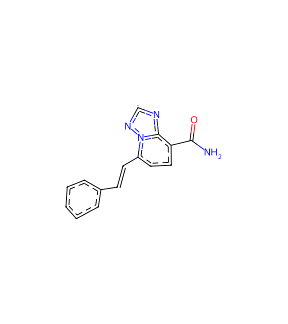 NC(=O)c1ccc(/C=C/c2ccccc2)n2n[c]nc12